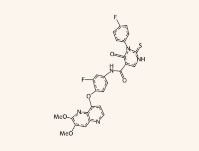 COc1cc2nccc(Oc3ccc(NC(=O)c4c[nH]c(=S)n(-c5ccc(F)cc5)c4=O)cc3F)c2nc1OC